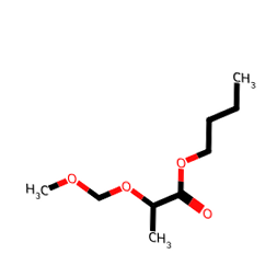 CCCCOC(=O)C(C)OCOC